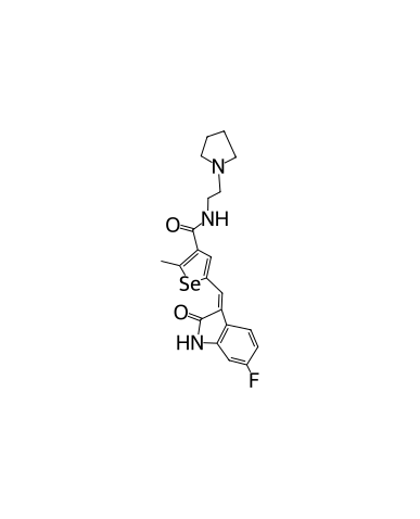 Cc1[se]c(C=C2C(=O)Nc3cc(F)ccc32)cc1C(=O)NCCN1CCCC1